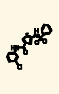 O=C(Nc1cccc(Cl)c1)c1csc([AsH]S(=O)(=O)c2ccccc2)c1